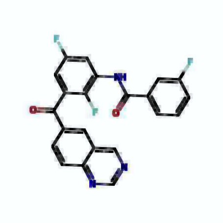 O=C(Nc1cc(F)cc(C(=O)c2ccc3ncncc3c2)c1F)c1cccc(F)c1